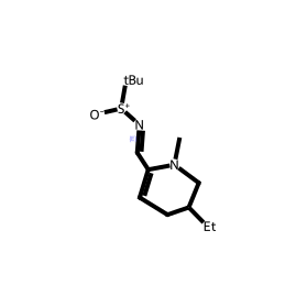 CCC1CC=C(/C=N/[S+]([O-])C(C)(C)C)N(C)C1